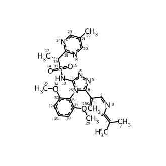 C=C(/C=N\C=C(C)C)c1nnc(NS(=O)(=O)[C@H](C)c2ncc(C)cn2)n1-c1c(OC)cccc1OC